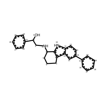 OC(CNC1CCCc2c1[nH]c1ccc(-c3ccccc3)cc21)c1ccccc1